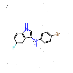 Fc1ccc2[nH]cc(Nc3ccc(Br)cc3)c2c1